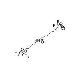 C=C(C)C(=O)OCCCCCCCCNC(=O)OCCCCCCCCCCC[Si](OCC)(OCC)OCC